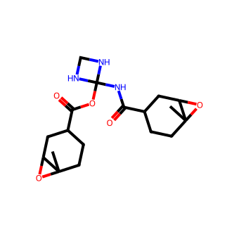 CC12CCC(C(=O)NC3(OC(=O)C4CCC5(C)OC5C4)NCN3)CC1O2